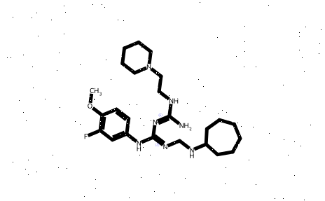 COc1ccc(NC(=N/CNC2CCCCCC2)/N=C(\N)NCCN2CCCCC2)cc1F